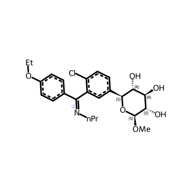 CCC/N=C(/c1ccc(OCC)cc1)c1cc([C@@H]2O[C@H](OC)[C@@H](O)[C@H](O)[C@H]2O)ccc1Cl